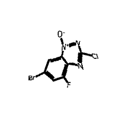 [O-][n+]1nc(Cl)nc2c(F)cc(Br)cc21